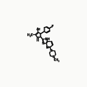 CC(=O)c1c(C)[nH]c(-c2nc3nc(N4CCN(C)CC4)ccc3[nH]2)c1-c1ccc(F)cc1